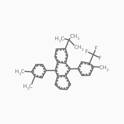 Cc1ccc(-c2c3ccccc3c(-c3ccc(C)c(C(F)(F)F)c3)c3cc(C(C)(C)C)ccc23)cc1C